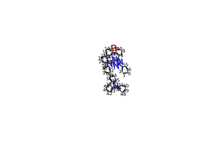 c1ccc(-c2nc(-c3cccc4oc5ccccc5c34)nc(-n3c4ccccc4c4ccc(-c5ccc6c(c5)c5ccccc5n6-c5ccccc5)cc43)n2)cc1